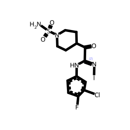 NS(=O)(=O)N1CCC(C(=O)/C(=N/I)Nc2ccc(F)c(Cl)c2)CC1